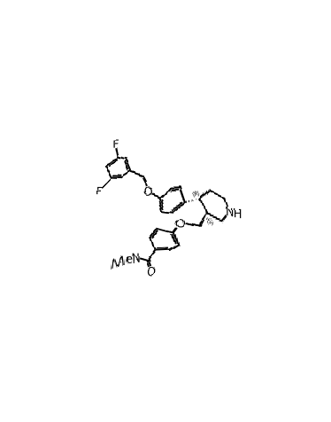 CNC(=O)c1ccc(OC[C@@H]2CNCC[C@H]2c2ccc(OCc3cc(F)cc(F)c3)cc2)cc1